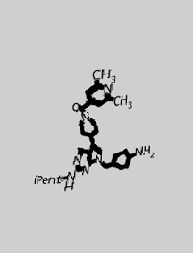 CCC[C@H](C)Nc1ncc2c(C3CCN(C(=O)c4cc(C)nc(C)c4)CC3)cn(CC3CCC(N)CC3)c2n1